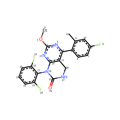 CCOc1nc(-c2ccc(F)cc2C)c2c(n1)N(c1c(F)cccc1F)C(=O)NC2